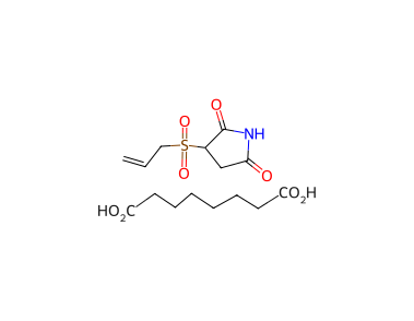 C=CCS(=O)(=O)C1CC(=O)NC1=O.O=C(O)CCCCCCC(=O)O